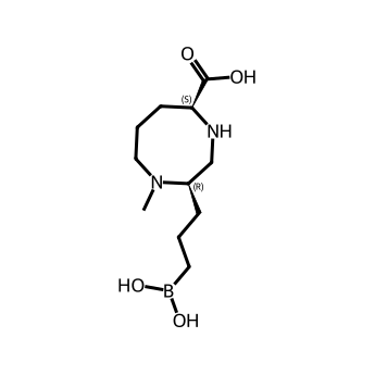 CN1CCC[C@@H](C(=O)O)NC[C@H]1CCCB(O)O